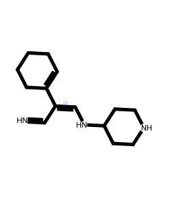 N=C/C(=C\NC1CCNCC1)C1=CCCCC1